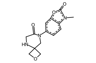 Cn1c(=O)oc2cc(N3CC4(COC4)NCC3=O)ccc21